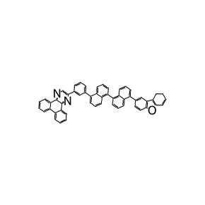 C1=Cc2oc3ccc(-c4cccc5c(-c6cccc7c(-c8cccc(-c9cnc%10c%11ccccc%11c%11ccccc%11c%10n9)c8)cccc67)cccc45)cc3c2CC1